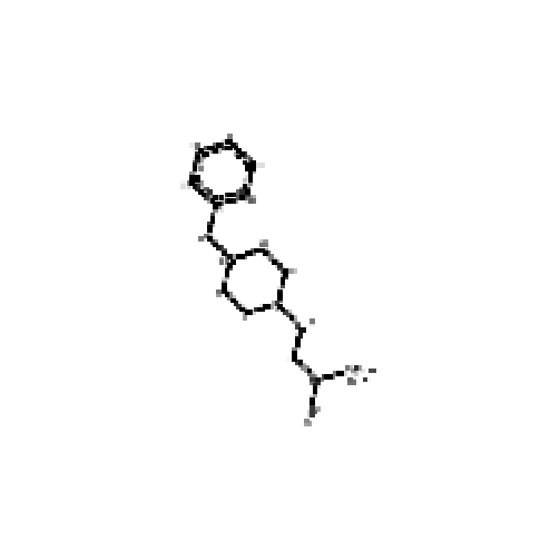 CC(C)C(COC1CCN(Cc2ccccc2)CC1)C(=O)O